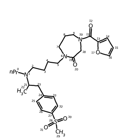 CCCN(CCCCN1CCCN(C(=O)c2ccco2)CC1=O)C(C)Cc1ccc(S(C)(=O)=O)cc1